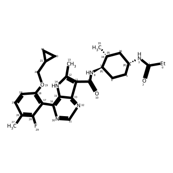 CCC(=O)N[C@@H]1CC[C@@H](NC(=O)c2c(C)[nH]c3c(-c4c(OCC5CC5)ccc(C)c4F)ncnc23)[C@H](C)C1